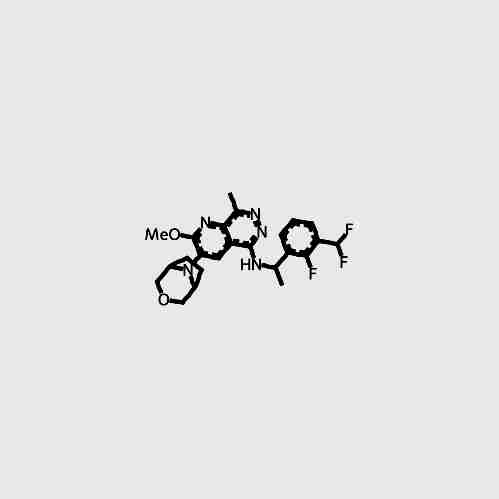 COc1nc2c(C)nnc(NC(C)c3cccc(C(F)F)c3F)c2cc1N1C2CCC1COC2